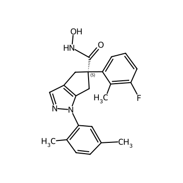 Cc1ccc(C)c(-n2ncc3c2C[C@](C(=O)NO)(c2cccc(F)c2C)C3)c1